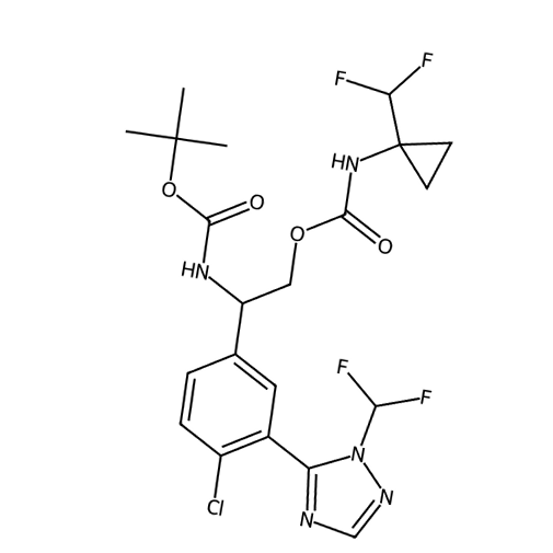 CC(C)(C)OC(=O)NC(COC(=O)NC1(C(F)F)CC1)c1ccc(Cl)c(-c2ncnn2C(F)F)c1